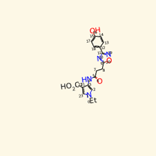 CCn1cc(NC(=O)CCc2nc(-c3ccc(O)cc3)no2)c(C(=O)O)c1